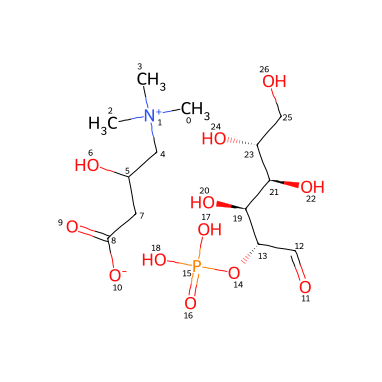 C[N+](C)(C)CC(O)CC(=O)[O-].O=C[C@H](OP(=O)(O)O)[C@@H](O)[C@H](O)[C@H](O)CO